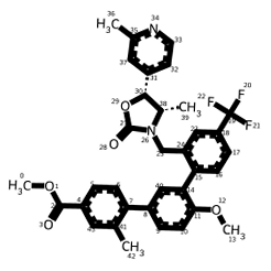 COC(=O)c1ccc(-c2ccc(OC)c(-c3ccc(C(F)(F)F)cc3CN3C(=O)O[C@H](c4ccnc(C)c4)[C@@H]3C)c2)c(C)c1